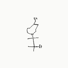 CCC1CCN(C(C)(C)C(C)(C)CC)CC1